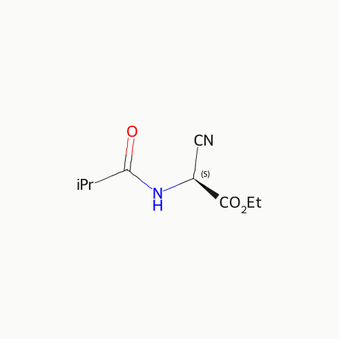 CCOC(=O)[C@H](C#N)NC(=O)C(C)C